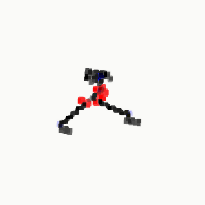 CCCC/C=C\CCCCCCCC(=O)OC[C@H](COP(=O)([O-])OCC[N+](C)(C)C)OC(=O)CCCCCCC/C=C\CCCCCCCC